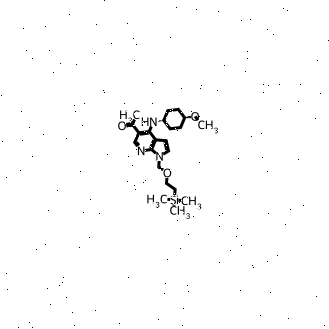 CO[C@H]1CC[C@H](Nc2c(C(C)=O)cnc3c2ccn3COCC[Si](C)(C)C)CC1